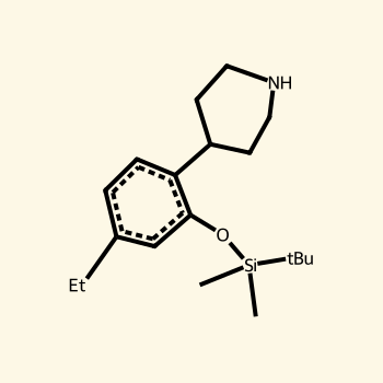 CCc1ccc(C2CCNCC2)c(O[Si](C)(C)C(C)(C)C)c1